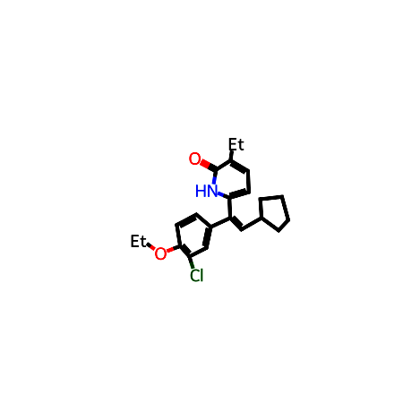 CCOc1ccc(C(=CC2CCCC2)c2ccc(CC)c(=O)[nH]2)cc1Cl